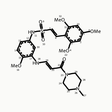 COc1cc(OC)c(C=CS(=O)(=O)Nc2ccc(OC)c(NC=CC(=O)N3CCN(C)CC3)c2)c(OC)c1